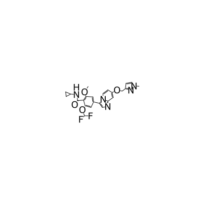 COc1cc(-c2cnc3cc(OCc4ccn(C)n4)ccn23)cc(OC(F)F)c1C(=O)NC1CC1